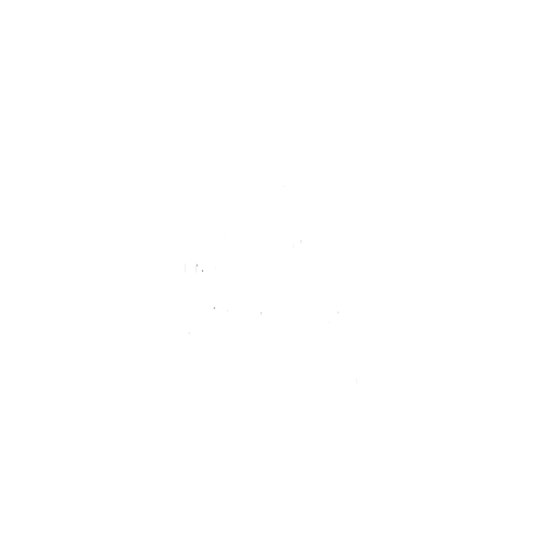 CC(C)c1cc2c(s1)Oc1ccccc1NC2=O